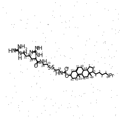 CC(C)CCCCC1CCC2C3CC=C4CC(OC(=O)NCCSSCCNC(=O)C(CCCCNC(=N)N)NC(=N)N)CCC4(C)C3CCC12C